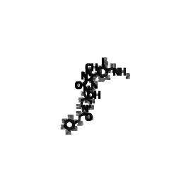 Cn1nc2c(=O)n(CC3(O)CCN(C(=O)CCc4ccccc4)CC3)cnc2c1-c1ccc(CN)c(F)c1